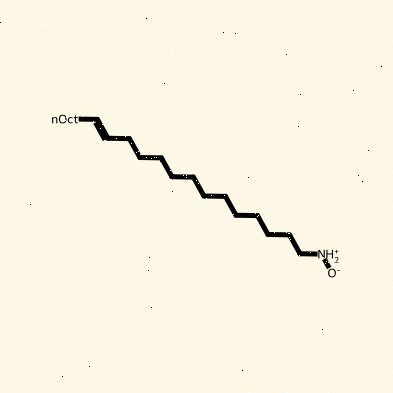 CCCCCCCCC=CCCCCCCCCCCCC[NH2+][O-]